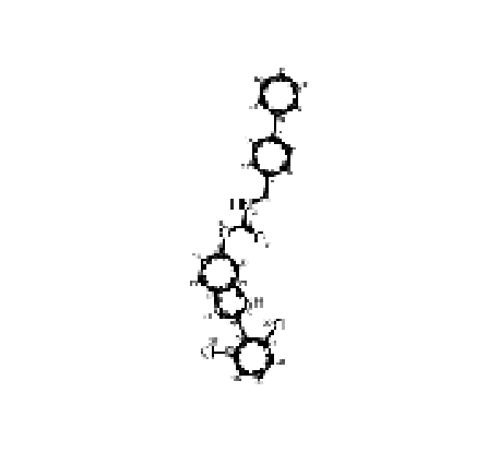 O=C(NCc1ccc(-c2ccccc2)cc1)Oc1ccc2nc(-c3c(Cl)cccc3Cl)[nH]c2c1